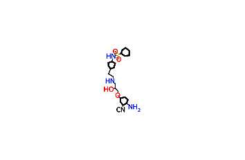 N#Cc1cc(OCC(O)CNCCc2ccc(NS(=O)(=O)c3ccccc3)cc2)ccc1N